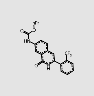 CCCOC(=O)Nc1ccc2cc(-c3ccccc3C(F)(F)F)[nH]c(=O)c2c1